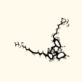 CCCCCCCCCCc1ccc(C2(C(=O)Oc3ccc(CCCCCCC)cc3C#N)CCCCC2)cc1